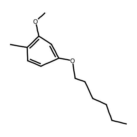 CCCCCCOc1ccc(C)c(OC)c1